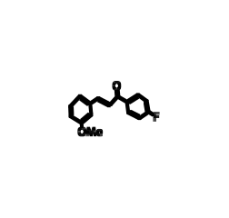 COc1cccc(C=CC(=O)c2ccc(F)cc2)c1